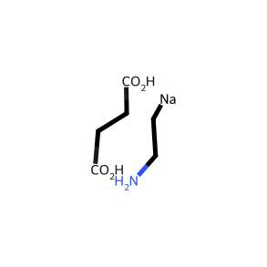 NC[CH2][Na].O=C(O)CCC(=O)O